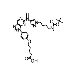 CN(CCCCn1cc(Nc2ncc3nnn(-c4ccc(OCCCCC(=O)O)cc4)c3n2)cn1)C(=O)OC(C)(C)C